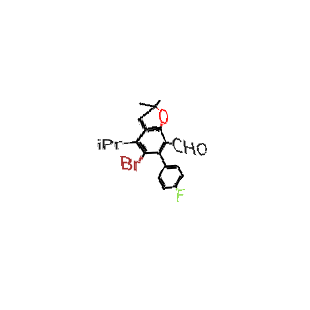 CC(C)c1c(Br)c(-c2ccc(F)cc2)c(C=O)c2c1CC(C)(C)O2